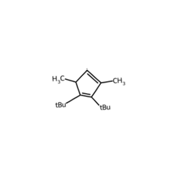 CC1=[C]C(C)C(C(C)(C)C)=C1C(C)(C)C